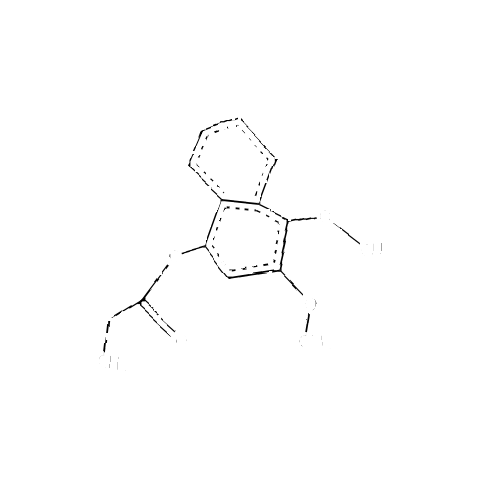 CCC(=O)Oc1cc(OC)c(OC)c2ccccc12